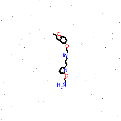 Cc1cc2cc(OCCNCCCc3cccc(OCCN)n3)ccc2o1